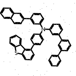 c1ccc(-c2cccc(-c3cccc(N(c4ccc(-c5cccc6sc7ccccc7c56)cc4)c4cccc(-c5ccc6ccccc6c5)c4)c3)c2)cc1